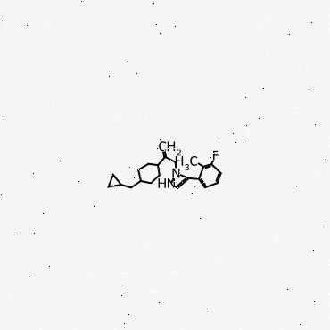 C=C(Cn1[nH]cc1-c1cccc(F)c1C)C1CCC(CC2CC2)CC1